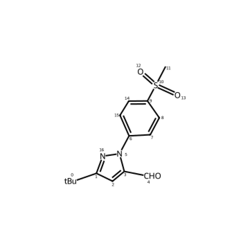 CC(C)(C)c1cc(C=O)n(-c2ccc(S(C)(=O)=O)cc2)n1